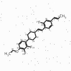 C/C=C/c1ccc(/C=C/C2CCC(c3ccc(OCC)c(F)c3F)CC2)c(F)c1